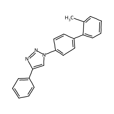 Cc1ccccc1-c1ccc(-n2cc(-c3ccccc3)nn2)cc1